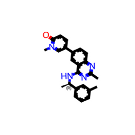 Cc1cccc([C@@H](C)Nc2nc(C)nc3ccc(-c4ccc(=O)n(C)c4)cc23)c1